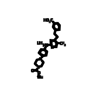 CC(C)(C)OC(=O)N1CCN(c2ccc(Nc3ncc(C(F)(F)F)c(CCc4cccc(C(=O)O)c4)n3)cc2)CC1.[LiH]